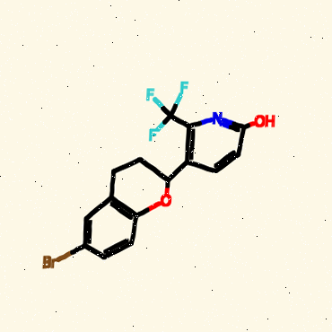 Oc1ccc(C2CCc3cc(Br)ccc3O2)c(C(F)(F)F)n1